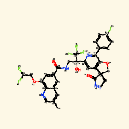 CC[C@]1(C(N)=O)COc2c1cc([C@@](O)(CNC(=O)c1cc(OCC(F)F)c3ncc(C)cc3c1)C(F)(F)F)nc2-c1ccc(F)cc1